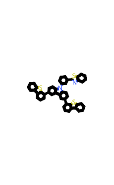 c1cc(-c2nc3ccccc3s2)cc(-n2c3ccc(-c4cccc5c4sc4ccccc45)cc3c3cc(-c4cccc5c4sc4ccccc45)ccc32)c1